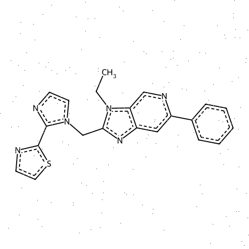 CCn1c(Cn2ccnc2-c2nccs2)nc2cc(-c3ccccc3)ncc21